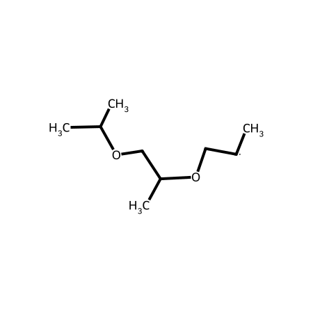 C[CH]COC(C)COC(C)C